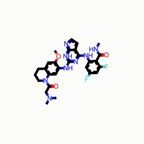 CNC(=O)c1c(F)cc(F)cc1Nc1nc(Nc2cc3c(cc2OC)CCCN3C(=O)CN(C)C)[nH]c2nccc1-2